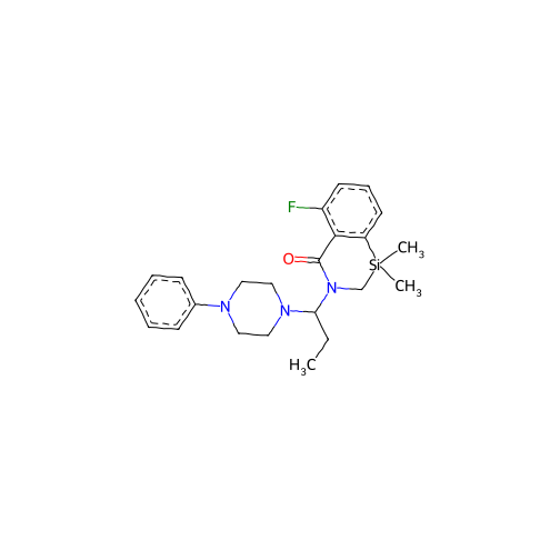 CCC(N1CCN(c2ccccc2)CC1)N1C[Si](C)(C)c2cccc(F)c2C1=O